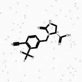 N#Cc1ccc(CN2C(=O)NC[C@@H]2C(=O)O)cc1C(F)(F)F